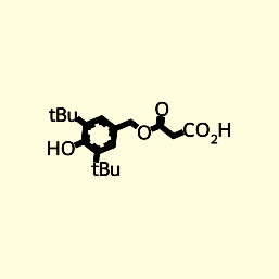 CC(C)(C)c1cc(COC(=O)CC(=O)O)cc(C(C)(C)C)c1O